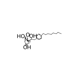 CCCCCCCCc1ccc(CC(O)[C@H]2C[C@H](O)CN2C(=O)O)cc1